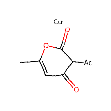 CC(=O)C1C(=O)C=C(C)OC1=O.[Cu]